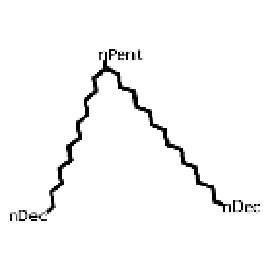 [CH2]CCCCC(CCCCCCCCCCCCCCCCCCCCCC)CCCCCCCCCCCCCCCCCCCCCCCC